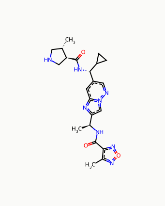 Cc1nonc1C(=O)N[C@@H](C)c1cn2ncc([C@H](NC(=O)[C@H]3CNC[C@@H]3C)C3CC3)cc2n1